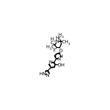 CC1(C)C[C@H](Oc2ccc(-c3ncc(-c4cn[nH]c4)cc3O)nn2)[C@@H](F)C(C)(C)N1